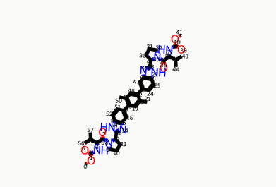 COC(=O)NC(C(=O)N1CCCC1c1nc2cc(-c3cc(C)c(-c4ccc5[nH]c(C6CCCN6C(=O)[C@@H](NC(=O)OC)C(C)C)nc5c4)cc3C)ccc2[nH]1)C(C)C